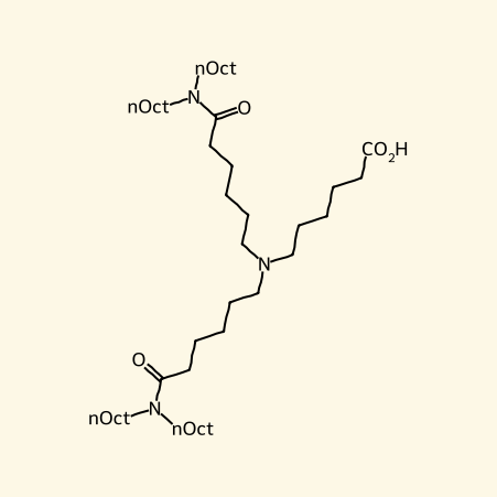 CCCCCCCCN(CCCCCCCC)C(=O)CCCCCN(CCCCCC(=O)O)CCCCCC(=O)N(CCCCCCCC)CCCCCCCC